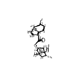 Cc1ccc2c(C(=O)O[C@H]3C[C@H]4CC[C@@H](C3)N4C)cnn2c1